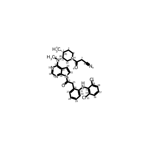 C[C@@H]1CCN(C(=O)CC#N)C[C@@H]1N(C)c1ncnc2c1ccn2C(=O)Cc1ccccc1Nc1c(Cl)cccc1Cl